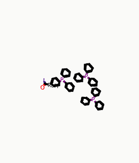 O=[C]([RuH])I.c1ccc(P(c2ccccc2)c2ccccc2)cc1.c1ccc(P(c2ccccc2)c2ccccc2)cc1.c1ccc(P(c2ccccc2)c2ccccc2)cc1